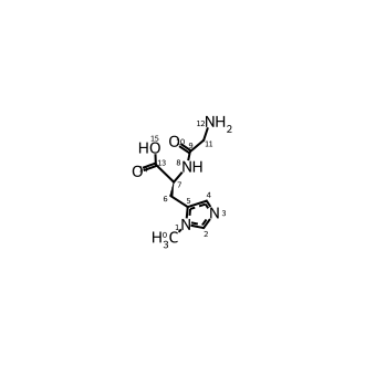 Cn1cncc1C[C@H](NC(=O)CN)C(=O)O